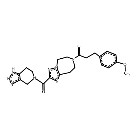 O=C(CCc1ccc(OC(F)(F)F)cc1)N1CCc2nc(C(=O)N3CCc4[nH]nnc4C3)nn2CC1